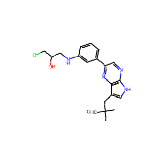 CC(C)(C=O)Cc1c[nH]c2ncc(-c3cccc(NCC(O)CCl)c3)nc12